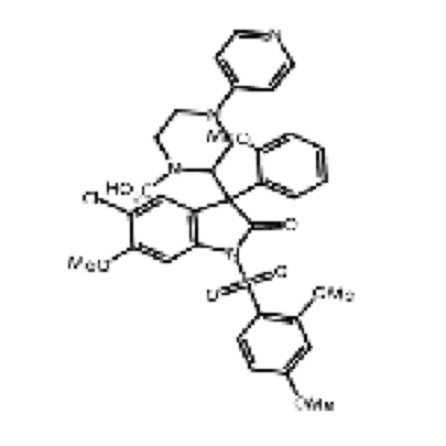 COc1ccc(S(=O)(=O)N2C(=O)C(c3ccccc3OC)(C3CN(c4ccncc4)CCN3C(=O)O)c3cc(Cl)c(OC)cc32)c(OC)c1